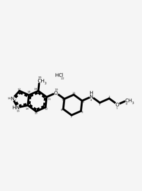 COCCNC1CCCC(Oc2ccc3[nH]ncc3c2C)C1.Cl